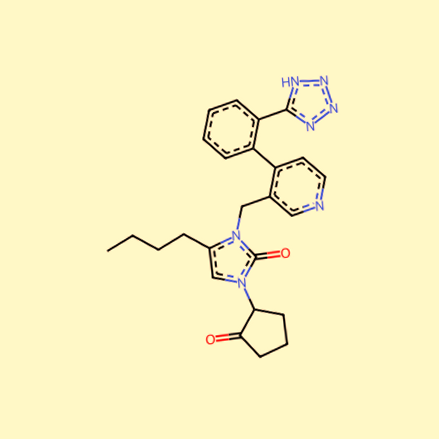 CCCCc1cn(C2CCCC2=O)c(=O)n1Cc1cnccc1-c1ccccc1-c1nnn[nH]1